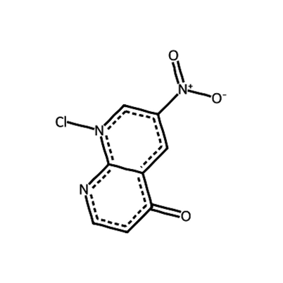 O=c1ccnc2n(Cl)cc([N+](=O)[O-])cc1-2